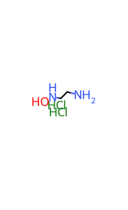 Cl.Cl.NCCNO